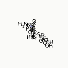 CC(C)(C=O)O/N=C(\C(=O)N[C@@H]1C(=O)N2C(c3nn[nH]n3)=C(CSc3cc[n+](CC(=O)c4ccc(O)c(O)c4Cl)c4ccccc34)CS[C@H]12)c1csc(N)n1